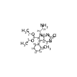 CCOC(OCC)c1c(-c2ccccc2C)c2cnc(Cl)nc2n1CCN